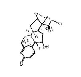 CC1C[C@H]2[C@@H]3CCC4=CC(=O)C=C[C@]4(C)[C@H]3C(O)C[C@]2(C)[C@@]1(C)C(=O)CCl